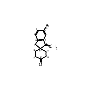 C=C1c2cc(Br)ccc2CC12CCC(=O)CC2